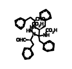 O=CC(Cc1ccccc1)N[C@@H](Cc1ccccc1)C(Cc1ccccc1)(NC(=O)O)N(NC(=O)O)[C@H](C=O)Cc1ccccc1